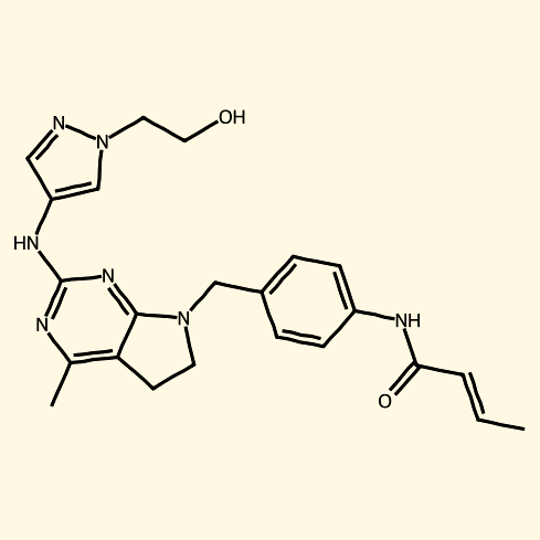 C/C=C/C(=O)Nc1ccc(CN2CCc3c(C)nc(Nc4cnn(CCO)c4)nc32)cc1